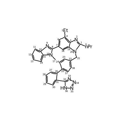 CCCc1nc2c(CC)cc(-c3nc4ccccc4n3C)cc2n1Cc1ccc(-c2ccccc2-c2nnn[nH]2)cc1